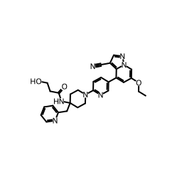 CCOc1cc(-c2ccc(N3CCC(Cc4ccccn4)(NC(=O)CCO)CC3)nc2)c2c(C#N)cnn2c1